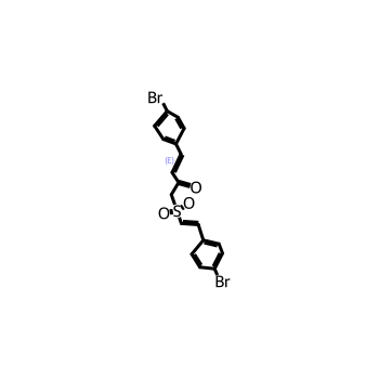 O=C(/C=C/c1ccc(Br)cc1)CS(=O)(=O)C=Cc1ccc(Br)cc1